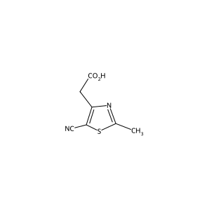 Cc1nc(CC(=O)O)c(C#N)s1